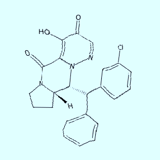 O=C1c2c(O)c(=O)cnn2[C@H](C(c2ccccc2)c2cccc(Cl)c2)[C@@H]2CCCN12